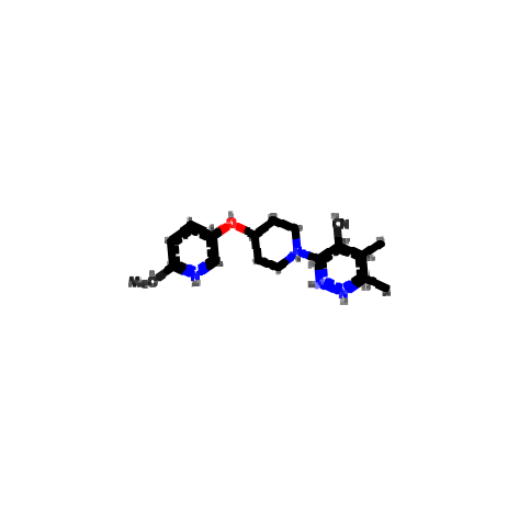 COc1ccc(OC2CCN(c3nnc(C)c(C)c3C#N)CC2)cn1